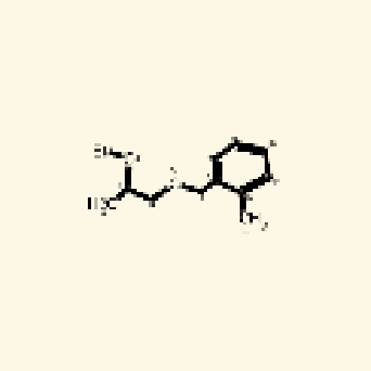 CCOC(C)COCc1ccccc1C